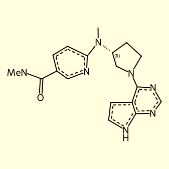 CNC(=O)c1ccc(N(C)[C@@H]2CCN(c3ncnc4[nH]ccc34)C2)nc1